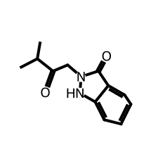 CC(C)C(=O)Cn1[nH]c2ccccc2c1=O